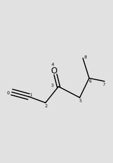 C#CCC(=O)CC(C)C